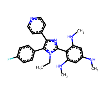 CCn1c(-c2c(NC)cc(NC)cc2NC)nc(-c2ccncc2)c1-c1ccc(F)cc1